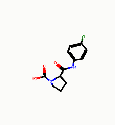 O=C(Nc1ccc(Cl)cc1)C1CCCN1C(=O)O